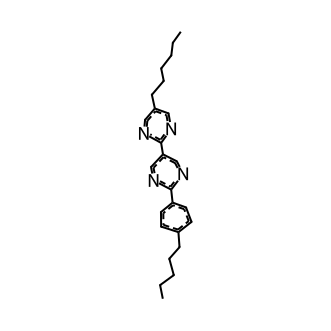 CCCCCCc1cnc(-c2cnc(-c3ccc(CCCCC)cc3)nc2)nc1